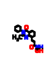 Cc1nc2c(/C=C/C(=O)NO)cccc2c(=O)n1-c1ccccc1